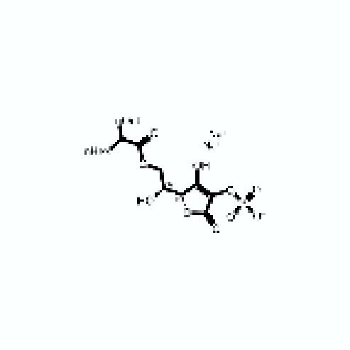 CCCCCCCCC(CCCCCC)C(=O)OC[C@H](O)[C@H]1OC(=O)C(OP(=O)([O-])[O-])=C1O.[Na+].[Na+]